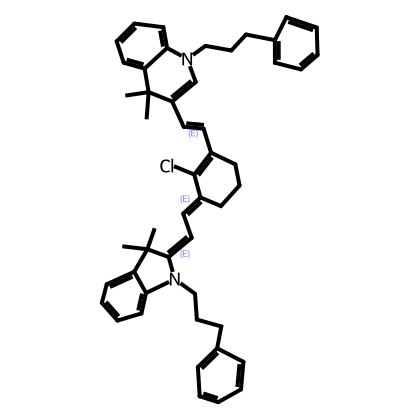 CC1(C)C(/C=C/C2=C(Cl)C(=C/C=C3/N(CCCc4ccccc4)c4ccccc4C3(C)C)/CCC2)=CN(CCCc2ccccc2)c2ccccc21